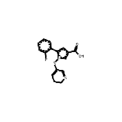 O=C(O)c1cc(-c2ccccc2F)n(SC2=CCCN=C2)c1